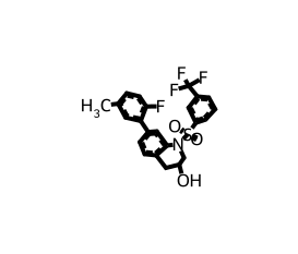 Cc1ccc(F)c(-c2ccc3c(c2)N(S(=O)(=O)c2cccc(C(F)(F)F)c2)CC(O)C3)c1